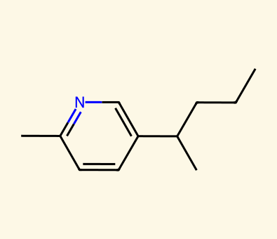 CCCC(C)c1ccc(C)nc1